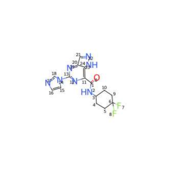 O=C(NC1CCC(F)(F)CC1)c1nc(-n2ccnc2)nc2cn[nH]c12